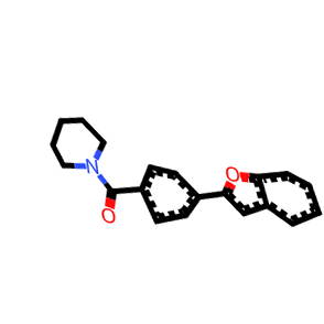 O=C(c1ccc(-c2cc3ccccc3o2)cc1)N1CCCCC1